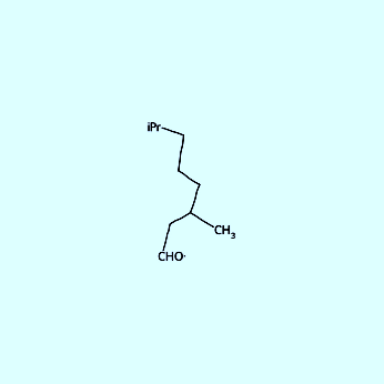 CC(C)CCCC(C)C[C]=O